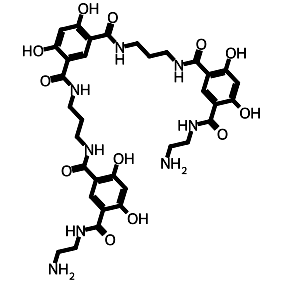 NCCNC(=O)c1cc(C(=O)NCCCNC(=O)c2cc(C(=O)NCCCNC(=O)c3cc(C(=O)NCCN)c(O)cc3O)c(O)cc2O)c(O)cc1O